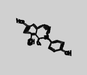 O=c1c2c(O)cc(O)cc2cnn1-c1ccc(O)cc1